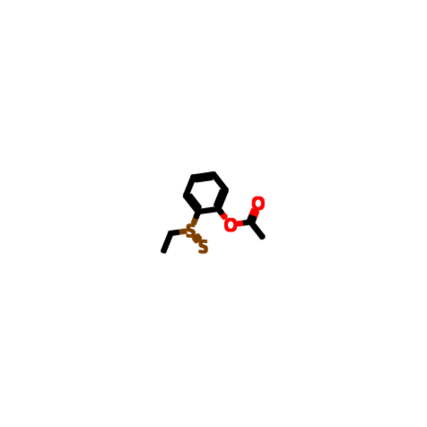 CCS(=S)c1ccccc1OC(C)=O